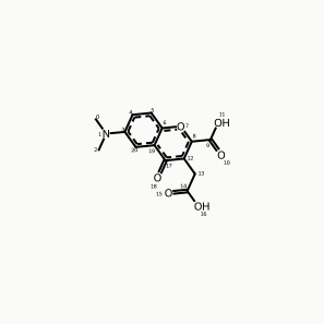 CN(C)c1ccc2oc(C(=O)O)c(CC(=O)O)c(=O)c2c1